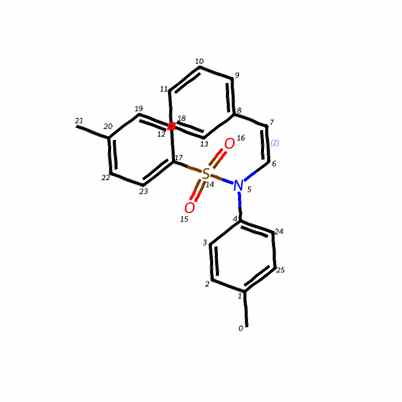 Cc1ccc(N(/C=C\c2ccccc2)S(=O)(=O)c2ccc(C)cc2)cc1